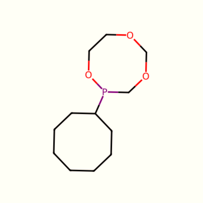 C1CCCC(P2COCOCCO2)CCC1